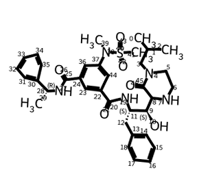 CC(C)CN1CCNC([C@@H](O)[C@H](Cc2ccccc2)NC(=O)c2cc(C(=O)N[C@H](C)c3ccccc3)cc(N(C)S(C)(=O)=O)c2)C1=O